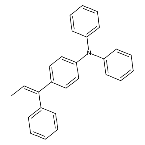 C/C=C(\c1ccccc1)c1ccc(N(c2ccccc2)c2ccccc2)cc1